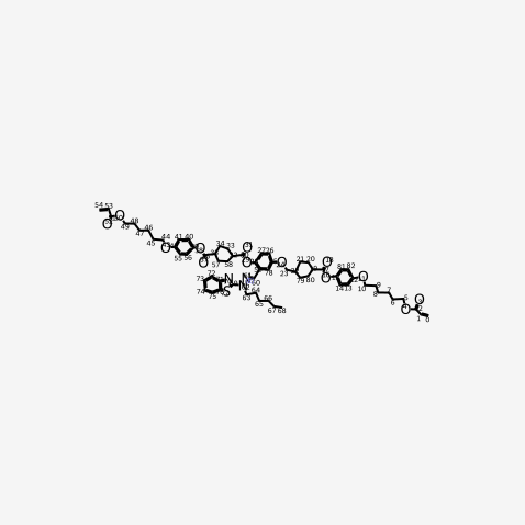 C=CC(=O)OCCCCCCOc1ccc(OC(=O)C2CCC(COc3ccc(OC(=O)C4CCC(C(=O)Oc5ccc(OCCCCCCOC(=O)C=C)cc5)CC4)c(/C=N/N(CCCCCC)c4nc5ccccc5s4)c3)CC2)cc1